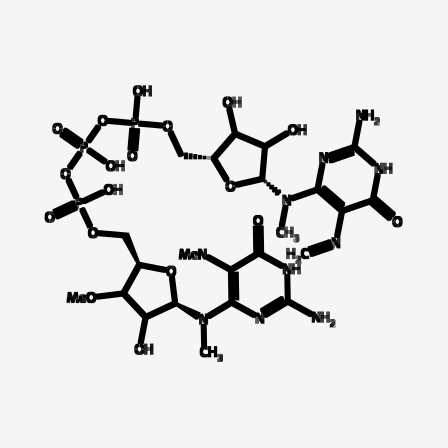 C=Nc1c(N(C)[C@@H]2O[C@H](COP(=O)(O)OP(=O)(O)OP(=O)(O)OC[C@H]3O[C@@H](N(C)c4nc(N)[nH]c(=O)c4NC)C(O)C3OC)C(O)C2O)nc(N)[nH]c1=O